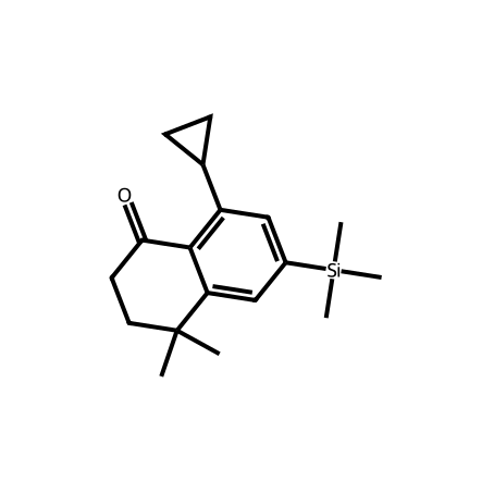 CC1(C)CCC(=O)c2c(C3CC3)cc([Si](C)(C)C)cc21